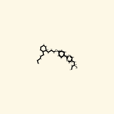 CCCCCC1CCCCC1CCCOc1ccc(-c2ncc(C[C@@H](C)CC)cn2)cc1